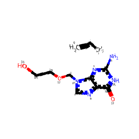 C=CC.Nc1nc2c(ncn2COCCO)c(=O)[nH]1